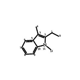 CCc1c(C)c2ccccc2n1C